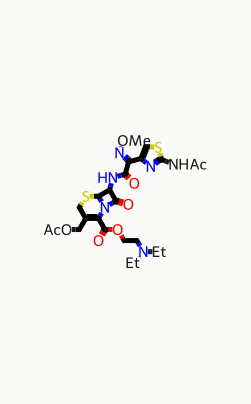 CCN(CC)CCOC(=O)C1=C(COC(C)=O)CSC2C(NC(=O)C(=NOC)c3csc(NC(C)=O)n3)C(=O)N12